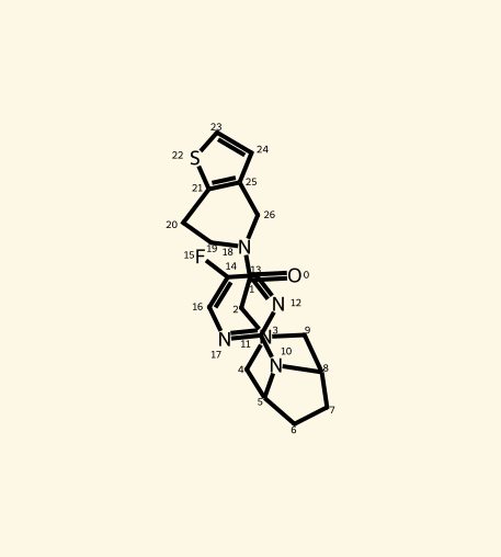 O=C(CN1CC2CCC(C1)N2c1ncc(F)cn1)N1CCc2sccc2C1